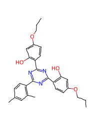 CCCOc1ccc(-c2nc(-c3ccc(C)cc3C)nc(-c3ccc(OCCC)cc3O)n2)c(O)c1